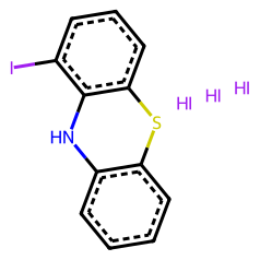 I.I.I.Ic1cccc2c1Nc1ccccc1S2